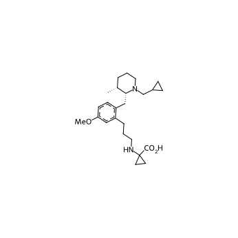 COc1ccc(C[C@@H]2[C@H](C)CCCN2CC2CC2)c(CCCNC2(C(=O)O)CC2)c1